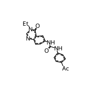 CCn1cnc2ccc(NC(=O)Nc3ccc(C(C)=O)cc3)cc2c1=O